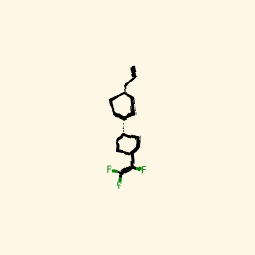 C=CC[C@H]1CC[C@H](C2CCC(C(F)=C(F)F)CC2)CC1